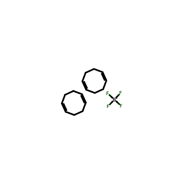 C1=CCCC=CCC1.C1=CCCC=CCC1.F[B-](F)(F)F